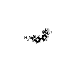 Nc1nc2ccc(-c3cncc(S(N)(=O)=O)c3)cn2n1